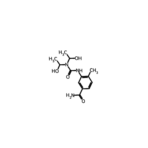 Cc1ccc(C(N)=O)cc1NC(=O)N(C(C)O)C(C)O